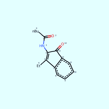 CCCCC(=O)NC1=C(CC)c2ccccc2C1=O